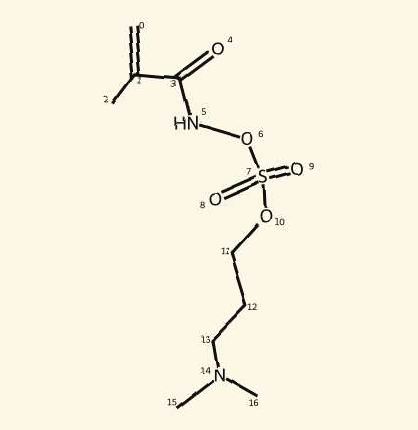 C=C(C)C(=O)NOS(=O)(=O)OCCCN(C)C